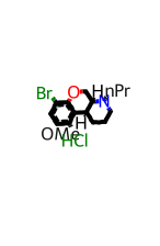 CCCN1CCC[C@H]2c3c(OC)ccc(Br)c3OC[C@@H]21.Cl